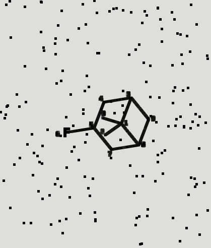 CC1(C)C2CC(F)CC1C2